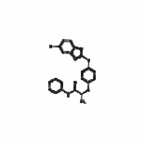 CC(Oc1ccc(Oc2nc3ccc(Cl)cc3o2)cc1)C(=O)Nc1ccccc1